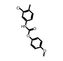 COc1ccc(OC(=O)Nc2ccc(C)c(Cl)c2)cc1